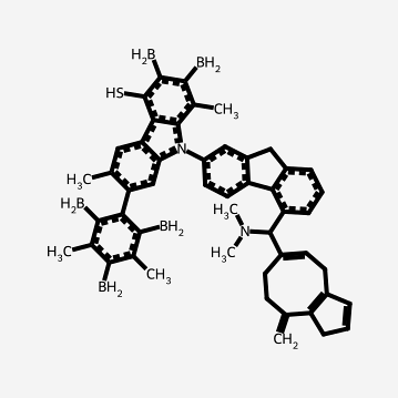 Bc1c(C)c(B)c(-c2cc3c(cc2C)c2c(S)c(B)c(B)c(C)c2n3-c2ccc3c(c2)Cc2cccc(C(/C4=C/CC5=C(CC=C5)C(=C)CC4)N(C)C)c2-3)c(B)c1C